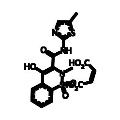 Cc1cnc(NC(=O)C2=C(O)c3ccccc3S(=O)(=O)N2C)s1.O=C(O)/C=C\C(=O)O